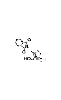 O=C1c2ccccc2C(=O)N1CCN1CC[C@@H](O)[C@H]1CO